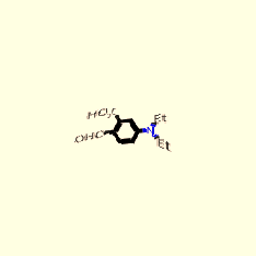 CCN(CC)c1ccc(C=O)c(C(=O)O)c1